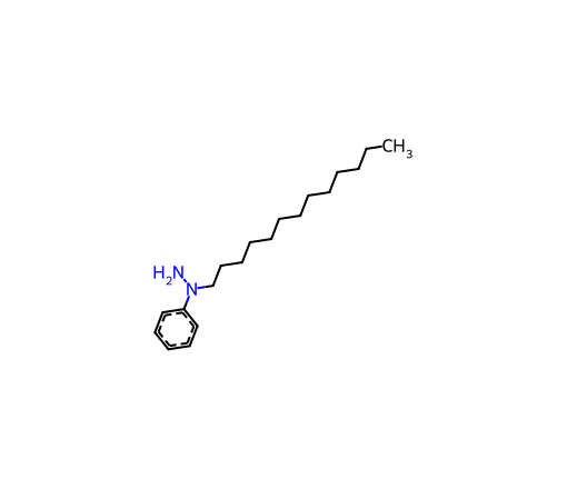 CCCCCCCCCCCCCN(N)c1ccccc1